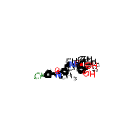 CCN(CCc1ccc(Cl)cc1)C(=O)c1cccc(CC(C)(C)NC[C@@H](O[Si](C)(C)C(C)(C)C)c2ccc(O)c(CO)c2)c1